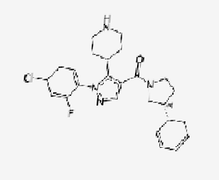 O=C(c1cnn(C2=CCC(Cl)C=C2F)c1C1CCNCC1)N1CC[C@H](C2C=CC=CC2)C1